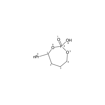 CCCC1CCCOP(=O)(O)O1